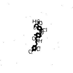 Cc1cc(Oc2cc3c(cc2Cl)C(C(=O)O)CCO3)ccc1C(=O)NCCc1ccc(Cl)cc1Cl